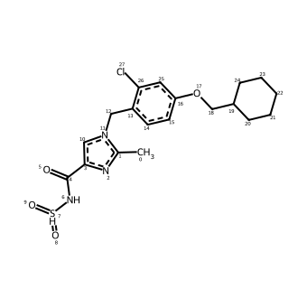 Cc1nc(C(=O)N[SH](=O)=O)cn1Cc1ccc(OCC2CCCCC2)cc1Cl